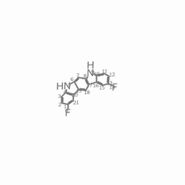 Fc1ccc2[nH]c3cc4[nH]c5ccc(F)cc5c4cc3c2c1